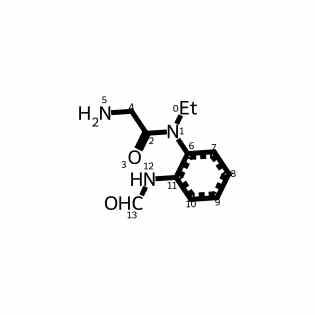 CCN(C(=O)CN)c1ccccc1NC=O